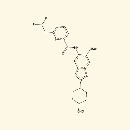 COc1cc2nn(C3CCC(C=O)CC3)cc2cc1NC(=O)c1cccc(CC(F)F)n1